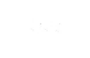 C[C@]1(N)C=C1N[C@H](CS)C(N)=O